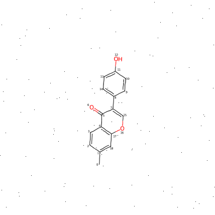 Cc1ccc2c(=O)c(-c3ccc(O)cc3)coc2c1